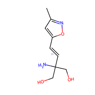 Cc1cc(/C=C/C(N)(CO)CO)on1